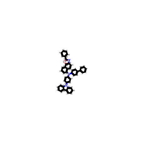 c1ccc(-c2ccc(N(c3ccc(-n4c5ccccc5c5ccccc54)cc3)c3cccc4c3ccc3nc(-c5ccccc5)oc34)cc2)cc1